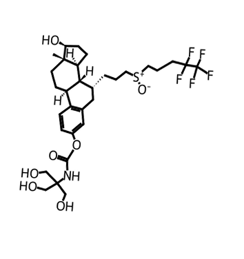 C[C@]12CC[C@@H]3c4ccc(OC(=O)NC(CO)(CO)CO)cc4C[C@@H](CCC[S+]([O-])CCCC(F)(F)C(F)(F)F)[C@H]3[C@@H]1CC[C@@H]2O